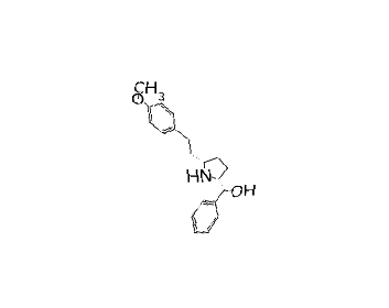 COc1ccc(CC[C@@H]2CC[C@H](C(O)c3ccccc3)N2)cc1